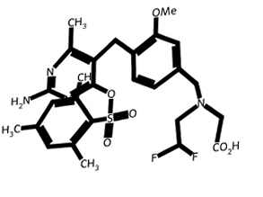 COc1cc(CN(CC(=O)O)CC(F)F)ccc1Cc1c(C)nc(N)nc1OS(=O)(=O)c1c(C)cc(C)cc1C